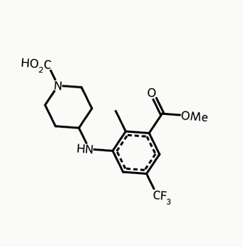 COC(=O)c1cc(C(F)(F)F)cc(NC2CCN(C(=O)O)CC2)c1C